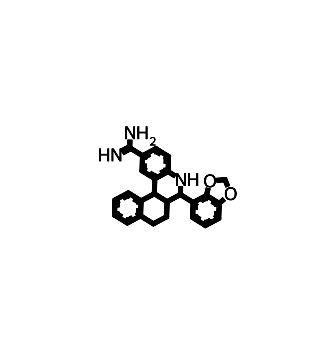 N=C(N)c1ccc2c(c1)C1c3ccccc3CCC1C(c1cccc3c1OCO3)N2